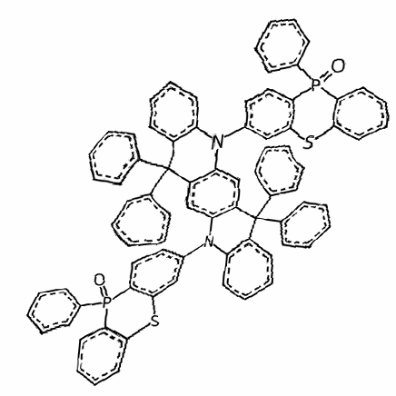 O=P1(c2ccccc2)c2ccccc2Sc2cc(N3c4ccccc4C(c4ccccc4)(c4ccccc4)c4cc5c(cc43)C(c3ccccc3)(c3ccccc3)c3ccccc3N5c3ccc4c(c3)Sc3ccccc3P4(=O)c3ccccc3)ccc21